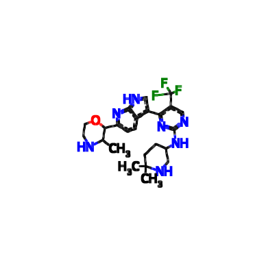 CC1NCCOC1c1ccc2c(-c3nc(NC4CCC(C)(C)NC4)ncc3C(F)(F)F)c[nH]c2n1